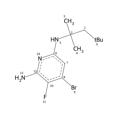 CC(C)(C)CC(C)(C)Nc1cc(Br)c(F)c(N)n1